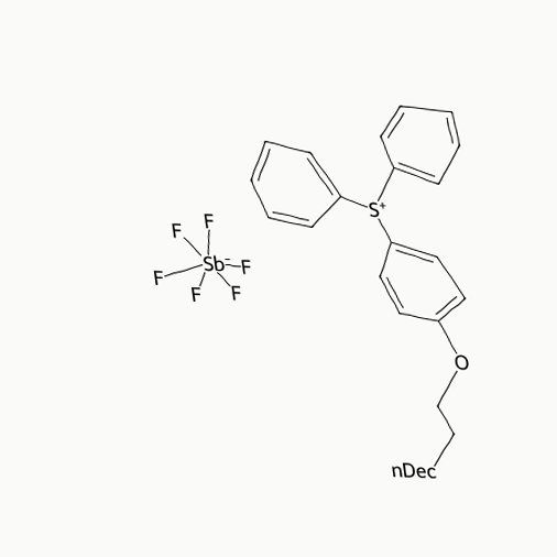 CCCCCCCCCCCCOc1ccc([S+](c2ccccc2)c2ccccc2)cc1.[F][Sb-]([F])([F])([F])([F])[F]